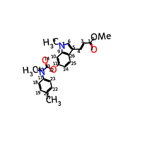 COC(=O)/C=C/c1cn(C)c2cc(OC(=O)N(C)c3ccc(C)cc3)ccc12